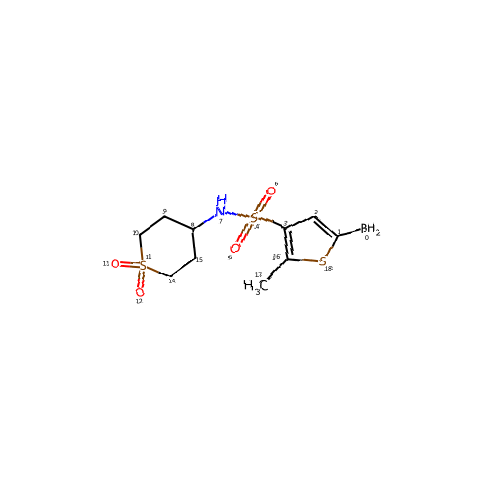 Bc1cc(S(=O)(=O)NC2CCS(=O)(=O)CC2)c(C)s1